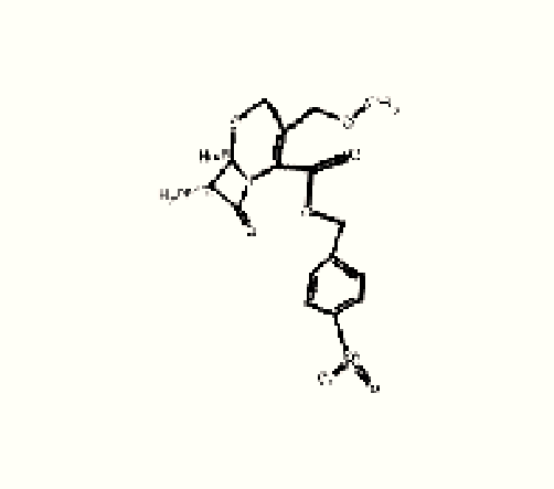 COCC1=C(C(=O)OCc2ccc([N+](=O)[O-])cc2)N2C(=O)[C@H](N)[C@H]2SC1